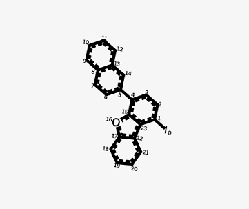 Ic1ccc(-c2ccc3ccccc3c2)c2oc3ccccc3c12